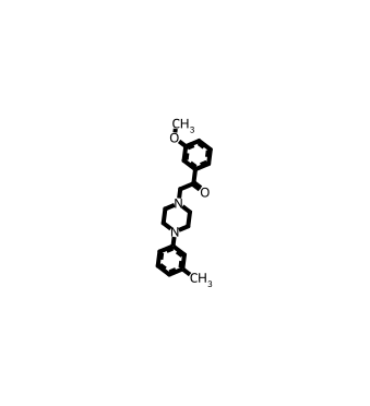 COc1cccc(C(=O)CN2CCN(c3cccc(C)c3)CC2)c1